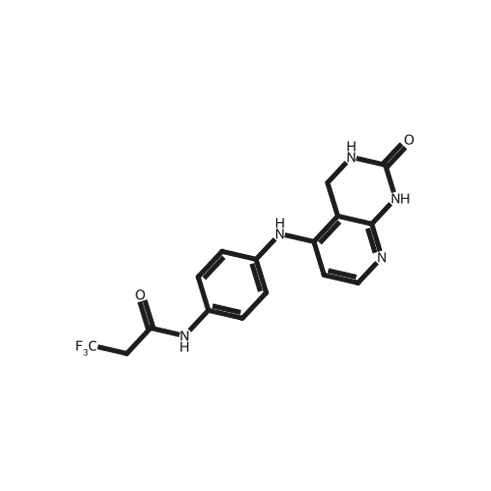 O=C(CC(F)(F)F)Nc1ccc(Nc2ccnc3c2CNC(=O)N3)cc1